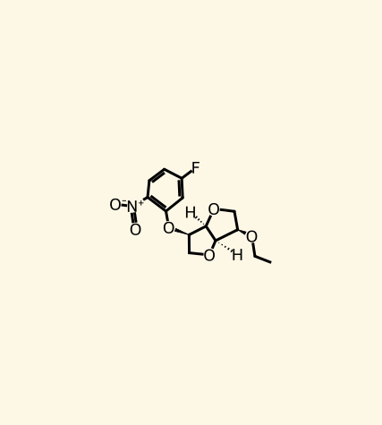 CCO[C@@H]1CO[C@H]2[C@@H]1OC[C@H]2Oc1cc(F)ccc1[N+](=O)[O-]